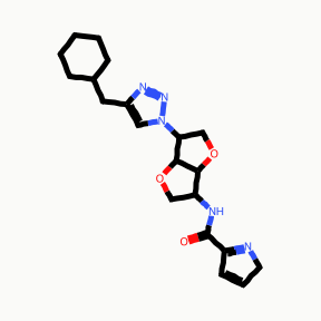 O=C(NC1COC2C1OCC2n1cc(CC2CCCCC2)nn1)C1=NCC=C1